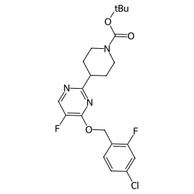 CC(C)(C)OC(=O)N1CCC(c2ncc(F)c(OCc3ccc(Cl)cc3F)n2)CC1